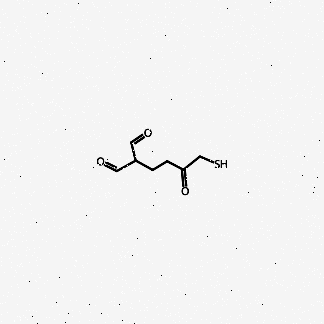 O=CC(C=O)CCC(=O)CS